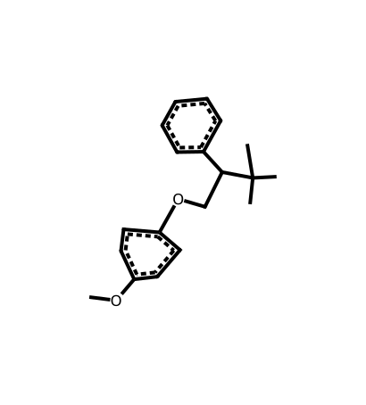 COc1ccc(OCC(c2ccccc2)C(C)(C)C)cc1